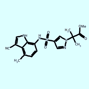 COC(=O)C(C)(C)n1cc(S(=O)(=O)Nc2ccc(C)c3c(C#N)c[nH]c23)cn1